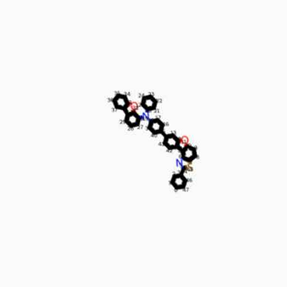 c1ccc(-c2nc3c(ccc4oc5cc(-c6ccc(N(c7ccccc7)c7cccc8c7oc7ccccc78)cc6)ccc5c43)s2)cc1